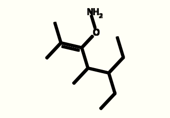 CCC(CC)C(C)C(ON)=C(C)C